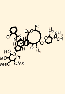 CC[C@H]1CCC[C@H](O[C@H]2CC[C@H](N(C)C)C(C)O2)[C@@H](C)C(=O)C2=C[C@H]3[C@@H]4C[C@H](OC(O)C(OC)C(OC)C(OC)C(C)C)C[C@H]4c4nc(-c5ccccc5Cl)sc4[C@H]3[C@@H]2CC(=O)O1